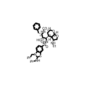 CCN[C@H]1CO[C@@H]2OCC[C@H](C(NS(=O)(=O)c3ccc4c(c3)SC(NC(C)C)N4CC(C)C)[C@H](O)[C@H](Cc3ccccc3)NC(=O)O)[C@H]21